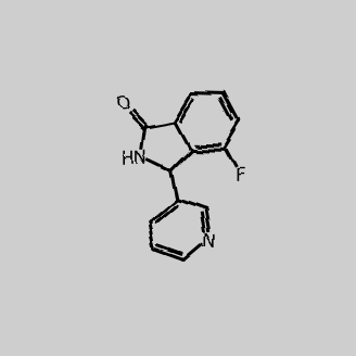 O=C1NC(c2cccnc2)c2c(F)cccc21